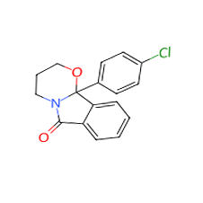 O=C1c2ccccc2C2(c3ccc(Cl)cc3)OCCCN12